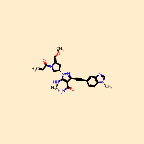 C=CC(=O)N1C[C@@H](n2nc(C#Cc3ccc4c(c3)ncn4C)c(C(N)=O)c2NC)C/C1=C\OC